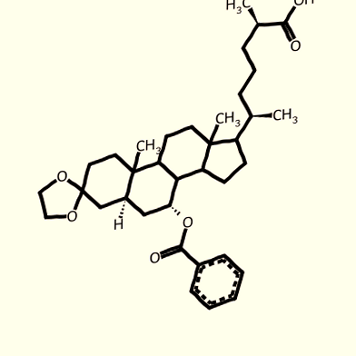 C[C@H](CCC[C@@H](C)C1CCC2C3C(CCC21C)C1(C)CCC2(C[C@@H]1C[C@H]3OC(=O)c1ccccc1)OCCO2)C(=O)O